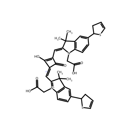 CC1(C)C(=CC2=C(O)/C(=C/C3=[N+](CC(=O)O)c4ccc(C5CC=CS5)cc4C3(C)C)C2=O)N(CC(=O)O)c2ccc(C3CC=CS3)cc21